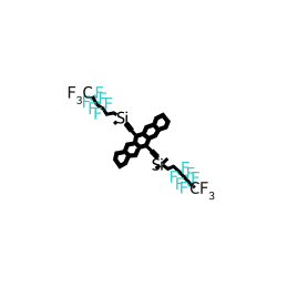 C[Si](C)(C#Cc1c2cc3ccccc3cc2c(C#C[Si](C)(C)CCC(F)(F)C(F)(F)C(F)(F)C(F)(F)F)c2cc3ccccc3cc12)CCC(F)(F)C(F)(F)C(F)(F)C(F)(F)F